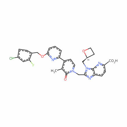 Cc1c(-c2cccc(OCc3ccc(Cl)cc3F)n2)ccn(Cc2nc3ccc(C(=O)O)nc3n2C[C@@H]2CCO2)c1=O